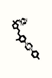 Cc1ccc(N2CCN(c3ccc(CCC4CCC(C)(Cn5cncn5)C4)c(C)c3)CC2)cc1